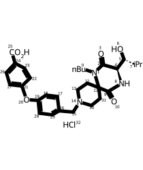 CCCCN1C(=O)[C@@H]([C@H](O)C(C)C)NC(=O)C12CCN(Cc1ccc(Oc3ccc(C(=O)O)cc3)cc1)CC2.Cl